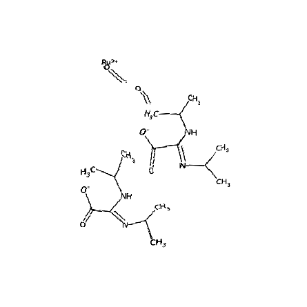 CC(C)N=C(NC(C)C)C(=O)[O-].CC(C)N=C(NC(C)C)C(=O)[O-].[C]=O.[C]=O.[Ru+2]